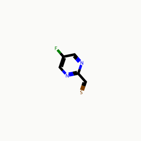 Fc1cnc(C=S)nc1